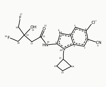 N#Cc1cc2c(cc1Cl)nc(NC(=O)CC(O)(CF)CF)n2C1CCC1